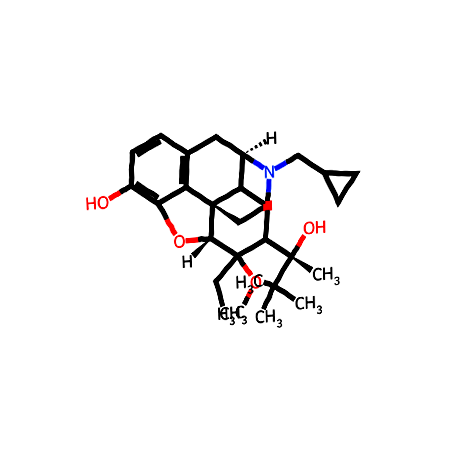 CCC1(OC)C([C@](C)(O)C(C)(C)C)CC2[C@H]3Cc4ccc(O)c5c4[C@@]2(CCN3CC2CC2)[C@H]1O5